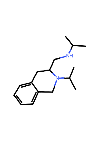 CC(C)NCC1Cc2ccccc2CN1C(C)C